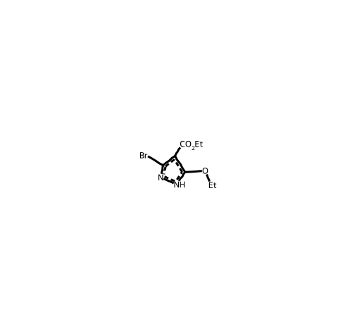 CCOC(=O)c1c(Br)n[nH]c1OCC